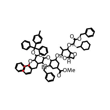 CC[C@@H]1CC(C(=O)OC)CC(O[C@@H]2O[C@H]3COC3C(O[C@@H](CC3CCCCC3)C(=O)OCc3ccccc3)C2C)C1OC1OC(OC(c2ccccc2)(c2ccccc2)c2ccc(C)cc2)C(OCc2ccccc2)C(Cc2ccccc2)C1OCc1ccccc1